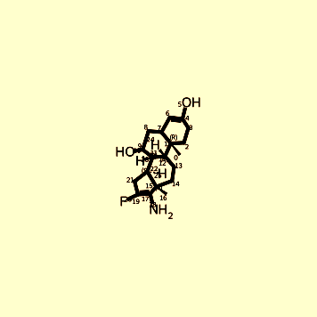 C[C@]12CCC(O)=CC1CC(O)[C@@H]1[C@H]2CC[C@]2(C)C(N)=C(F)C[C@@H]12